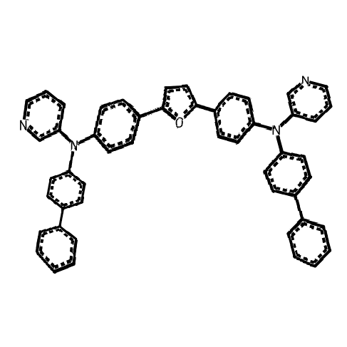 c1ccc(-c2ccc(N(c3ccc(-c4ccc(-c5ccc(N(c6ccc(-c7ccccc7)cc6)c6cccnc6)cc5)o4)cc3)c3cccnc3)cc2)cc1